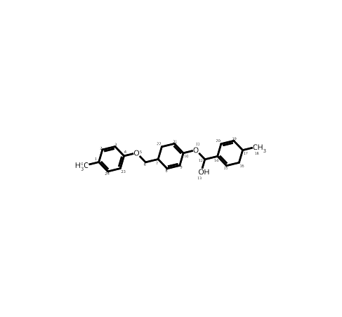 Cc1ccc(OCC2C=CC(OC(O)C3=CCC(C)C=C3)=CC2)cc1